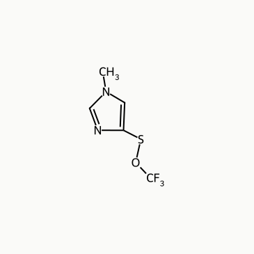 Cn1cnc(SOC(F)(F)F)c1